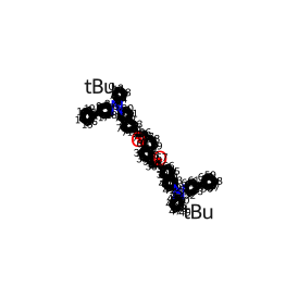 CC(C)(C)c1cccc(N(c2ccc(-c3ccccc3)cc2)c2ccc3cc(C4=CC5C=Cc6c(ccc7cc(C8C=c9ccc(N(c%10cccc(C(C)(C)C)c%10)C%10C=CC(c%11ccccc%11)=CC%10)cc9=CC8)oc67)C5O4)ccc3c2)c1